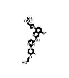 CC(C)c1ccc(N2CC(CS(C)(=O)=O)C2)c2cnc(Nc3ccnc(N4CC[C@H](OCCO)[C@H](F)C4)n3)cc12